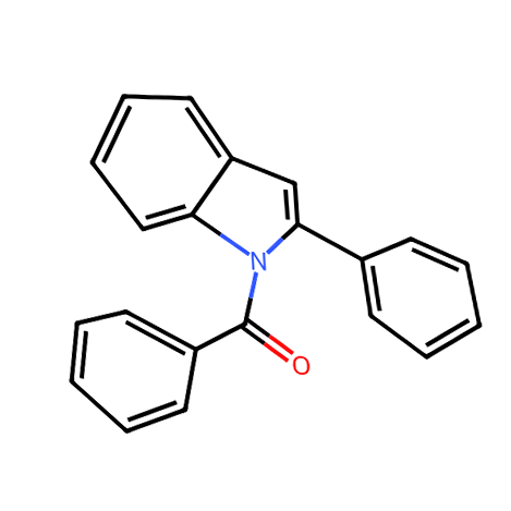 O=C(c1ccccc1)n1c(-c2ccccc2)cc2ccccc21